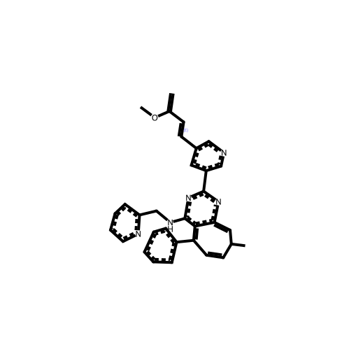 C=C(/C=C/c1cncc(-c2nc(NCc3ccccn3)c3c(n2)=CC(C)C=CC=3c2ccccc2)c1)OC